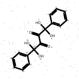 O=C(C(=O)C(O)(O)c1ccccc1)C(O)(O)c1ccccc1